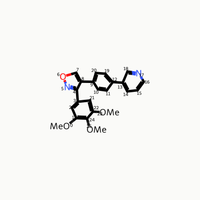 COc1cc(-c2nocc2-c2ccc(-c3cccnc3)cc2)cc(OC)c1OC